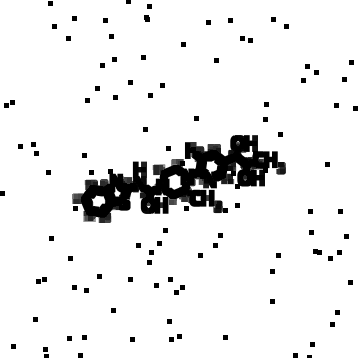 C[C@@H]1CN(C(O)Nc2nc3ccccc3s2)CCN1c1ncc([C@@H](O)[C@@H](C)O)cc1F